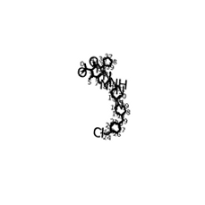 CC(=O)c1c(C)c2cnc(Nc3ccc(N4CCC(Cc5ccc(CCl)cc5)CC4)cn3)nc2n(C2CCCC2)c1=O